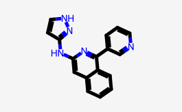 c1cncc(-c2nc(Nc3cc[nH]n3)cc3ccccc23)c1